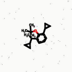 CC(c1cccc(C2CC2)c1OC(C)(C)C)C1CC1